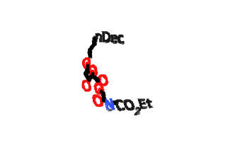 CCCCCCCCCCCCCCOC1=CC(=O)C(C(=O)OCC(=O)N(C)CC(=O)OCC)O1